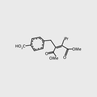 COC(=O)/C(Cc1ccc(C(=O)O)cc1)=C(\C(=O)OC)C(C)C